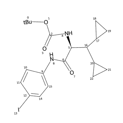 CC(C)(C)OC(=O)N[C@H](C(=O)Nc1ccc(I)cc1)C(C1CC1)C1CC1